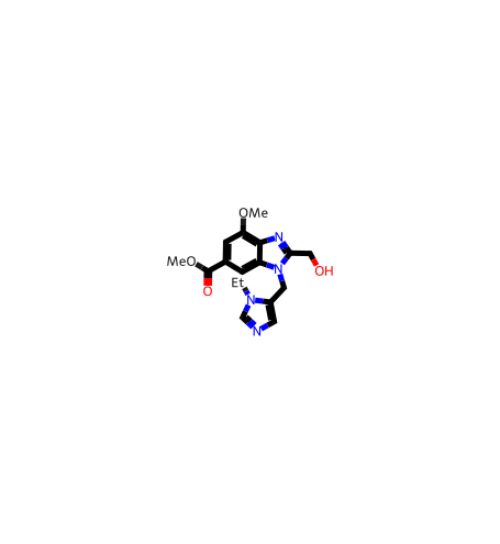 CCn1cncc1Cn1c(CO)nc2c(OC)cc(C(=O)OC)cc21